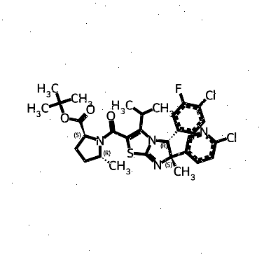 CC(C)C1=C(C(=O)N2[C@H](C)CC[C@H]2C(=O)OC(C)(C)C)SC2=N[C@@](C)(c3ccc(Cl)nc3)[C@@H](c3ccc(Cl)c(F)c3)N21